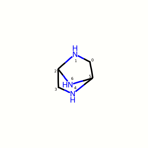 C1NC2CNC1N2